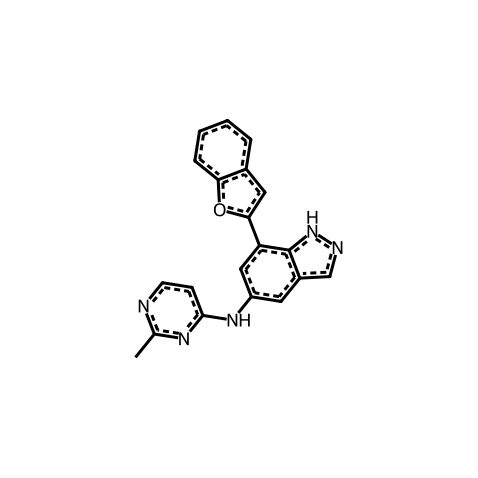 Cc1nccc(Nc2cc(-c3cc4ccccc4o3)c3[nH]ncc3c2)n1